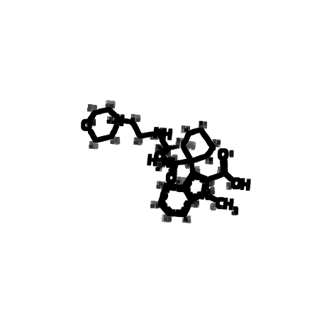 Cn1c(C(=O)O)c([C@]2(C(N)=O)CCCC[C@H]2C(=O)NCCN2CCOCC2)c2ccccc21